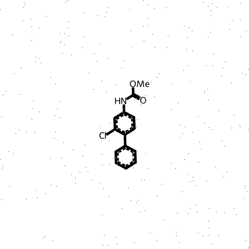 [CH2]OC(=O)Nc1ccc(-c2ccccc2)c(Cl)c1